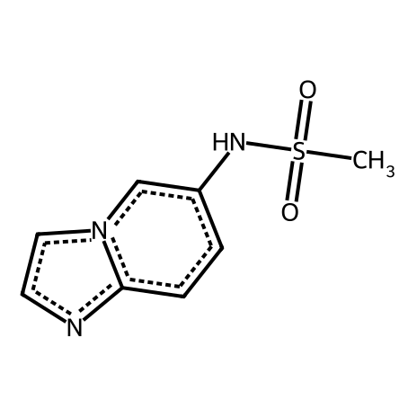 CS(=O)(=O)Nc1ccc2nccn2c1